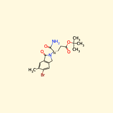 Cc1cc2c(cc1Br)CN([C@@H](CCC(=O)OC(C)(C)C)C(N)=O)C2=O